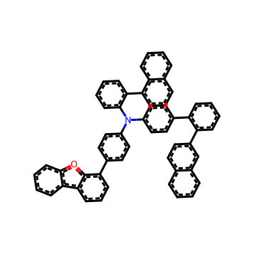 c1ccc(-c2ccc3ccccc3c2)c(-c2ccc(N(c3ccc(-c4cccc5c4oc4ccccc45)cc3)c3ccccc3-c3cccc4ccccc34)cc2)c1